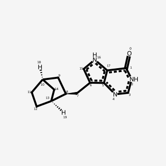 O=c1[nH]cnc2c(C[C@@H]3C[C@@H]4CC[C@H]3C4)c[nH]c12